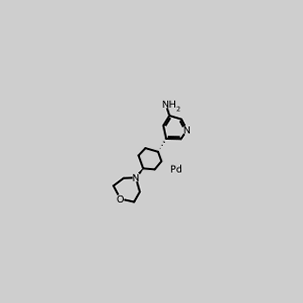 Nc1cncc([C@H]2CC[C@H](N3CCOCC3)CC2)c1.[Pd]